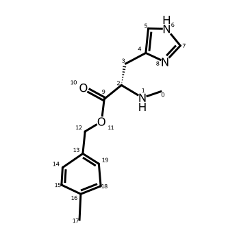 CN[C@@H](Cc1c[nH]cn1)C(=O)OCc1ccc(C)cc1